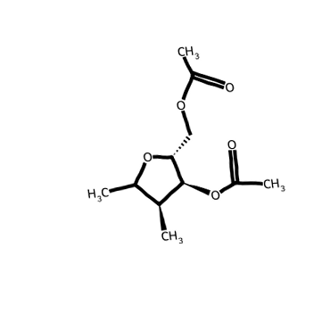 CC(=O)OC[C@H]1OC(C)[C@H](C)[C@@H]1OC(C)=O